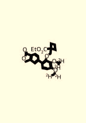 [2H]C([2H])Oc1ccc(-c2ccc3c(c2)COC3=O)c(OCC2(C(=O)OCC)CCC2)c1OC([2H])[2H]